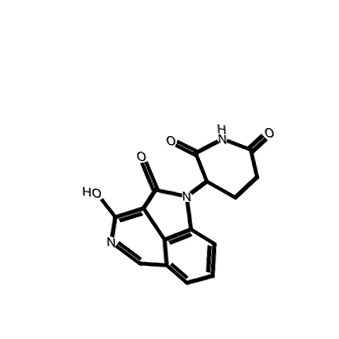 O=C1CCC(N2C(=O)c3c(O)ncc4cccc2c34)C(=O)N1